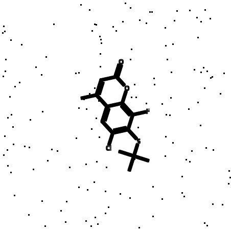 Cc1cc(=O)oc2c(F)c(SC(C)(C)C)c(Cl)cc12